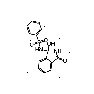 O=C1NC(O)(NS(=O)(=O)c2ccccc2)c2ccccc21